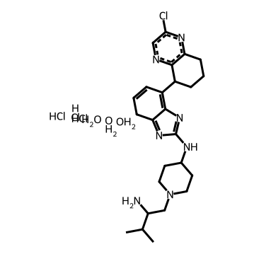 CC(C)C(N)CN1CCC(NC2=NC3=C(C4CCCc5nc(Cl)cnc54)C=CCC3=N2)CC1.Cl.Cl.Cl.O.O.O